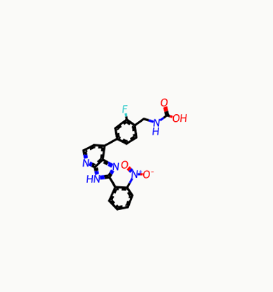 O=C(O)NCc1ccc(-c2ccnc3[nH]c(-c4ccccc4[N+](=O)[O-])nc23)cc1F